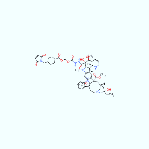 CC[C@]1(O)C[C@@H]2CN(CCc3c([nH]c4ccccc34)[C@@](C(=O)OC)(c3cc4c(cc3OC)N(C)C3[C@]45CCN4CC=C[C@@](CC)([C@@H](O)[C@]3(O)C(=O)NNC(=O)OCOC(=O)C3CCC(CN6C(=O)C=CC6=O)CC3)[C@H]45)C2)C1